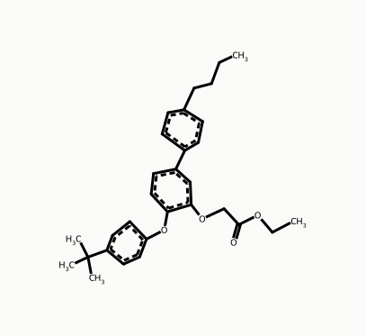 CCCCc1ccc(-c2ccc(Oc3ccc(C(C)(C)C)cc3)c(OCC(=O)OCC)c2)cc1